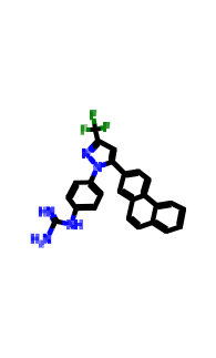 N=C(N)Nc1ccc(-n2nc(C(F)(F)F)cc2-c2ccc3c(ccc4ccccc43)c2)cc1